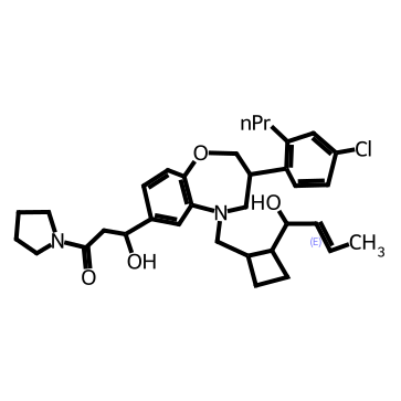 C/C=C/C(O)C1CCC1CN1CC(c2ccc(Cl)cc2CCC)COc2ccc(C(O)CC(=O)N3CCCC3)cc21